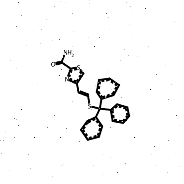 NC(=O)c1nc(C=CSC(c2ccccc2)(c2ccccc2)c2ccccc2)cs1